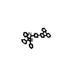 c1ccc(-c2oc3c(-c4ccc(-c5ccc6c7ccccc7c7ccccc7c6c5)cc4)nc4ccccc4c3c2-c2ccccc2)cc1